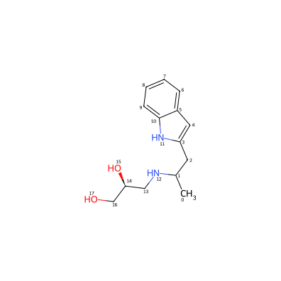 CC(Cc1cc2ccccc2[nH]1)NC[C@H](O)CO